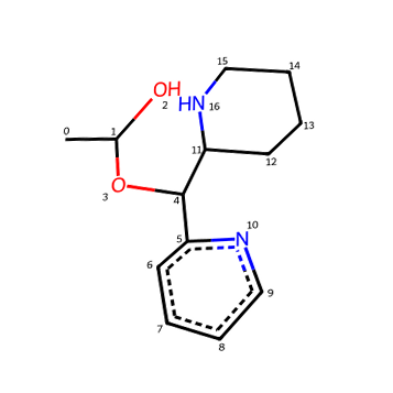 CC(O)OC(c1ccccn1)C1CCCCN1